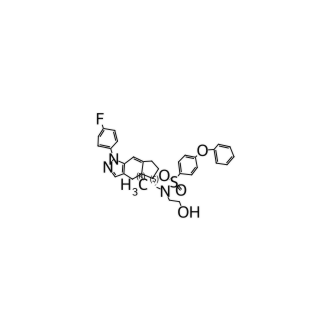 C[C@]12Cc3cnn(-c4ccc(F)cc4)c3C=C1CC[C@@H]2CN(CCO)S(=O)(=O)c1ccc(Oc2ccccc2)cc1